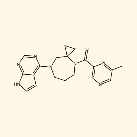 Cc1cncc(C(=O)N2CCCN(c3ncnc4[nH]ccc34)CC23CC3)n1